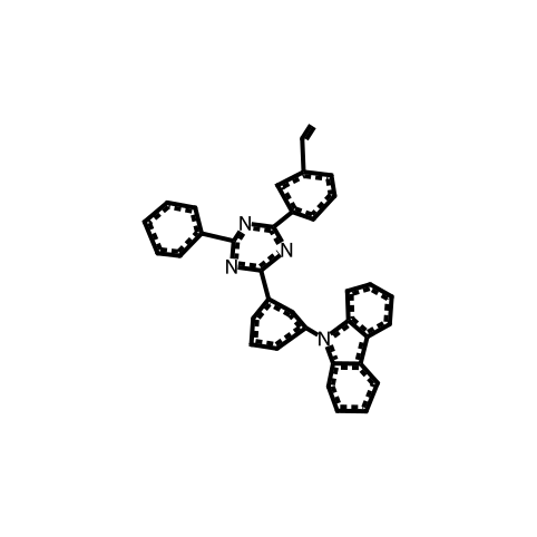 C=Cc1cccc(-c2nc(-c3ccccc3)nc(-c3cccc(-n4c5ccccc5c5ccccc54)c3)n2)c1